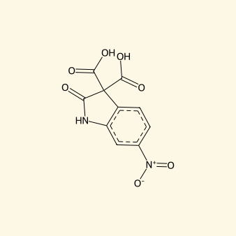 O=C(O)C1(C(=O)O)C(=O)Nc2cc([N+](=O)[O-])ccc21